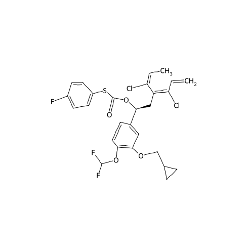 C=C/C(Cl)=C(C[C@H](OC(=O)Sc1ccc(F)cc1)c1ccc(OC(F)F)c(OCC2CC2)c1)\C(Cl)=C/C